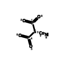 O=P(=O)SP(=O)=O.[Co].[Ni]